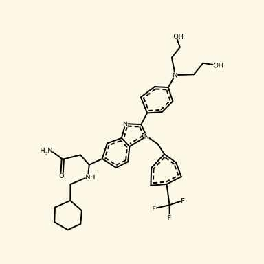 NC(=O)CC(NCC1CCCCC1)c1ccc2c(c1)nc(-c1ccc(N(CCO)CCO)cc1)n2Cc1ccc(C(F)(F)F)cc1